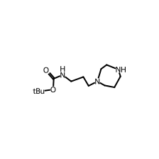 CC(C)(C)OC(=O)NCCCN1CCCNCC1